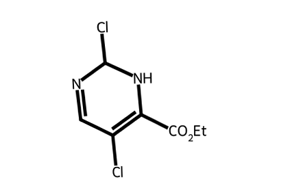 CCOC(=O)C1=C(Cl)C=NC(Cl)N1